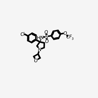 O=S(=O)(N[C@@]1(c2ccc(Cl)cc2)CCN(C2COC2)C1)c1ccc(OC(F)(F)F)cc1